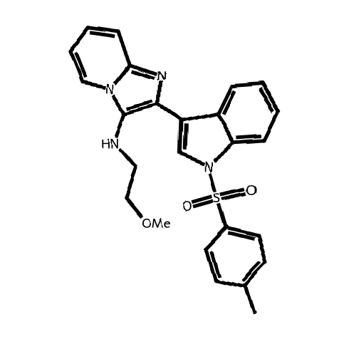 COCCNc1c(-c2cn(S(=O)(=O)c3ccc(C)cc3)c3ccccc23)nc2ccccn12